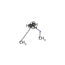 CCCCCC/C=C\CCCCCCCC(=O)C(O)(C(O)C(=O)CCCCCCCCCCCCCCCCC)C1(O)C(=O)CCC1=O